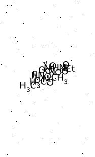 CCS(=O)(=O)Nc1cccc(-n2c(=O)n(C3CC3)c(=O)c3c(Nc4ccc(C)cc4F)n(C)c(=O)c(C)c32)c1